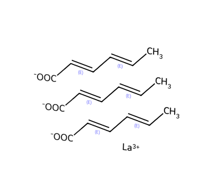 C/C=C/C=C/C(=O)[O-].C/C=C/C=C/C(=O)[O-].C/C=C/C=C/C(=O)[O-].[La+3]